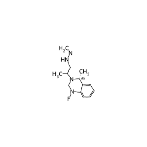 C=NNCC(C)N1CN(F)c2ccccc2[C@H]1C